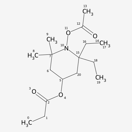 CCC(=O)OC1CC(C)(C)N(OC(C)=O)C(CC)(CC)C1